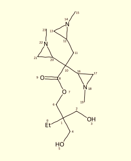 CCC(CO)(CO)COC(=O)C(CC1CN1C)(C1CN1C)C1CN1C